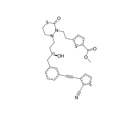 COC(=O)c1ccc(CCN2C(=O)SCCN2CC[C@@H](O)Cc2cccc(C#Cc3ccsc3C#N)c2)s1